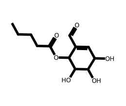 CCCCC(=O)OC1C(C=O)=CC(O)C(O)C1O